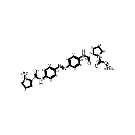 CC(=O)N1CCC[C@H]1C(=O)Nc1ccc(/N=N/c2ccc(NC(=O)[C@@H]3CCCN3C(=O)OC(C)(C)C)cc2)cc1